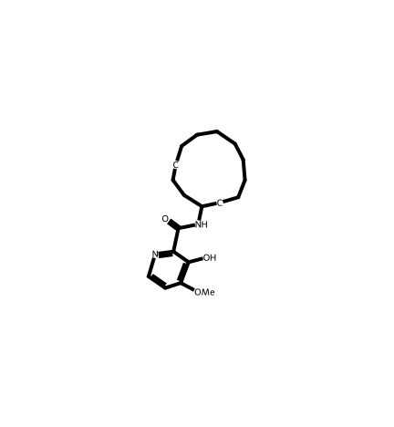 COc1ccnc(C(=O)NC2CCCCCCCCCCC2)c1O